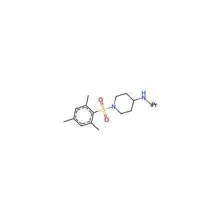 Cc1cc(C)c(S(=O)(=O)N2CCC(NC(C)C)CC2)c(C)c1